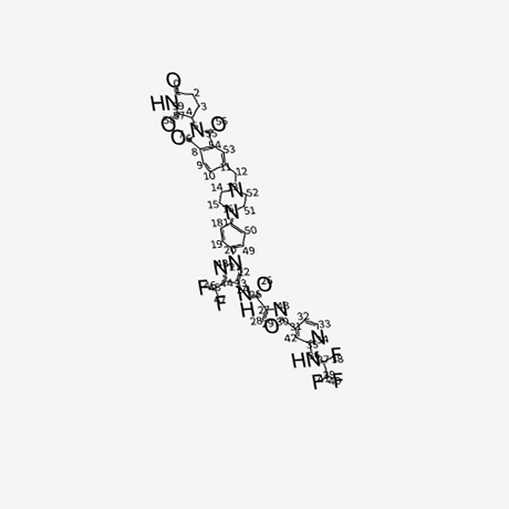 O=C1CCC(N2C(=O)c3ccc(CN4CCN(c5ccc(-n6cc(NC(=O)c7coc(-c8ccnc(NC(F)C(F)F)c8)n7)c(C(F)F)n6)cc5)CC4)cc3C2=O)C(=O)N1